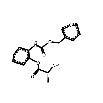 C[C@H](N)C(=O)Oc1ccccc1NC(=O)OCc1ccccc1